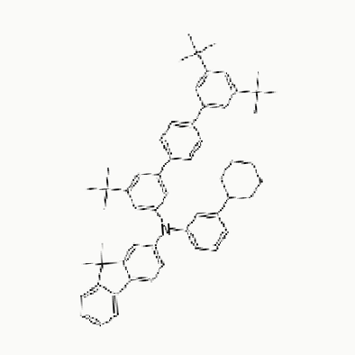 CC(C)(C)c1cc(-c2ccc(-c3cc(C(C)(C)C)cc(C(C)(C)C)c3)cc2)cc(N(c2cccc(C3CCCCC3)c2)c2ccc3c(c2)C(C)(C)c2ccccc2-3)c1